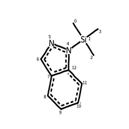 C[Si](C)(C)n1ncc2cc[c]cc21